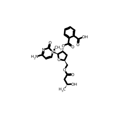 C[C@@H](O)CC(=O)OC[C@@H]1C[C@@H](OC(=O)c2ccccc2C(=O)O)[C@H]([N+]2(C)C=CC(N)=NC2=O)O1